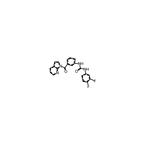 O=C(Nc1cccc(C(=O)n2ccc3cccnc32)c1)Nc1ccc(F)c(F)c1